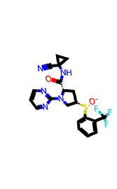 N#CC1(NC(=O)[C@@H]2C[C@@H]([S+]([O-])c3ccccc3C(F)(F)F)CN2c2ncccn2)CC1